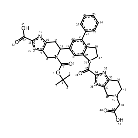 CC(C)(C)OC(=O)N1Cc2sc(C(=O)O)nc2CC1c1cc(-c2ccccc2)c2c(c1)N(C(=O)c1nc3c(s1)CN(CC(=O)O)CC3)CC2